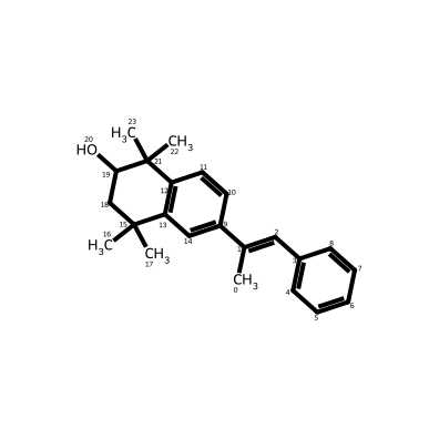 CC(=Cc1ccccc1)c1ccc2c(c1)C(C)(C)CC(O)C2(C)C